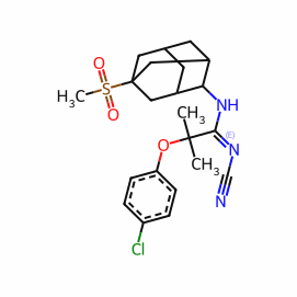 CC(C)(Oc1ccc(Cl)cc1)/C(=N\C#N)NC1C2CC3CC1CC(S(C)(=O)=O)(C3)C2